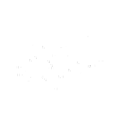 Cc1cc(C)c(Nc2nc(N(c3nc4ccccc4s3)c3c(C(C)C)cc(C)cc3C(C)C)cc(C)c2N=Nc2c(C#N)c(C(C)(C)C)nn2-c2nc3ccccc3s2)c(C)c1